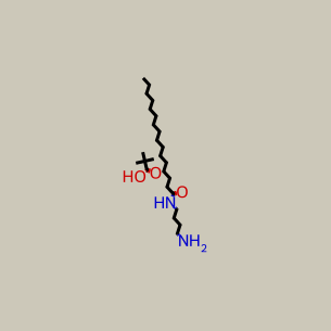 CC(C)(C)C(=O)O.CCCCCCCCCCCCCCCC(=O)NCCCCN